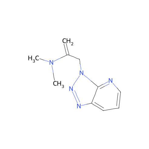 C=C(Cn1nnc2cccnc21)N(C)C